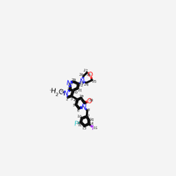 [CH2]n1cc(-c2ccn(Cc3cc(F)cc(I)c3)c(=O)c2)c2cc(N3CCOCC3)cnc21